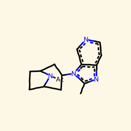 CC(=O)N1C2CCC1CC(n1c(C)nc3ccncc31)C2